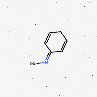 CC(C)(C)N=C1C=CCC=C1